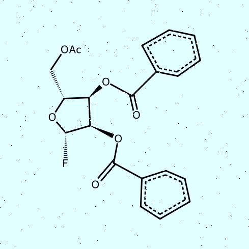 CC(=O)OC[C@H]1O[C@@H](F)[C@H](OC(=O)c2ccccc2)[C@@H]1OC(=O)c1ccccc1